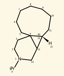 CC(C)N1CCC23CCCCCCC[C@@H]2C3C1